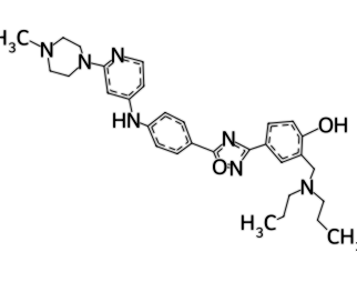 CCCN(CCC)Cc1cc(-c2noc(-c3ccc(Nc4ccnc(N5CCN(C)CC5)c4)cc3)n2)ccc1O